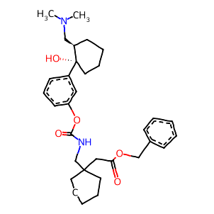 CN(C)C[C@H]1CCCC[C@@]1(O)c1cccc(OC(=O)NCC2(CC(=O)OCc3ccccc3)CCCCC2)c1